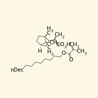 C=C(C(=O)O)C1C[C@H]2CC[C@@]1(C)C2(C)C.C=C(C)C(=O)OCCCCCCCCCCCCCCCCCC